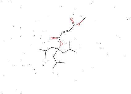 COC(=O)C=CC(=O)O[Si](CC(C)C)(CC(C)C)CC(C)C